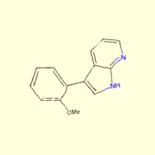 COc1ccccc1-c1c[nH]c2ncccc12